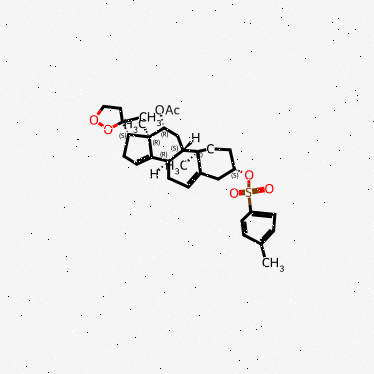 CC(=O)O[C@@H]1C[C@H]2[C@@H](CC=C3C[C@@H](OS(=O)(=O)c4ccc(C)cc4)CC[C@@]32C)C2=CC[C@H](C3(C)CCOO3)[C@]21C